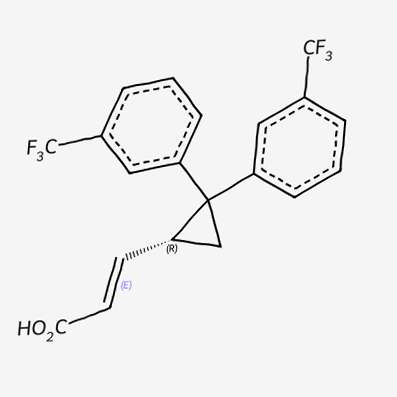 O=C(O)/C=C/[C@H]1CC1(c1cccc(C(F)(F)F)c1)c1cccc(C(F)(F)F)c1